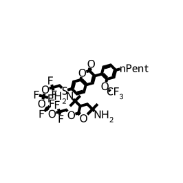 CCCCCc1ccc(-c2cc3ccc(SCC(F)(F)OC(F)(F)OC(F)(F)OC(F)(F)COC(=O)C(CC(C)(C)N)C(C)(C)N)cc3oc2=O)c(OC(F)(F)F)c1